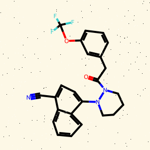 N#Cc1ccc(N2CCCCN2C(=O)Cc2cccc(OC(F)(F)F)c2)c2ccccc12